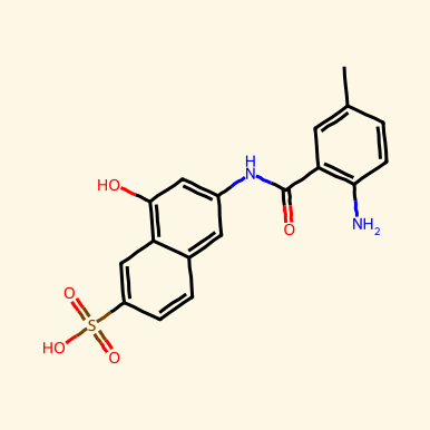 Cc1ccc(N)c(C(=O)Nc2cc(O)c3cc(S(=O)(=O)O)ccc3c2)c1